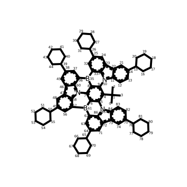 CC(C)(C)c1c2c3c4c5c1-n1c6ccc(C7CCCCC7)cc6c6cc(C7CCCCC7)cc(c61)B5c1cc(C5CCCCC5)cc5c6cc(C7CCCCC7)cc(c6n-4c15)B3c1cc(C3CCCCC3)cc3c4cc(C5CCCCC5)ccc4n-2c13